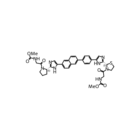 COC(=O)NCC(=O)N1CCC[C@H]1c1ncc(-c2ccc3cc(-c4ccc(-c5cnc([C@@H]6SCCN6C(=O)CNC(=O)OC)[nH]5)cc4)ccc3c2)[nH]1